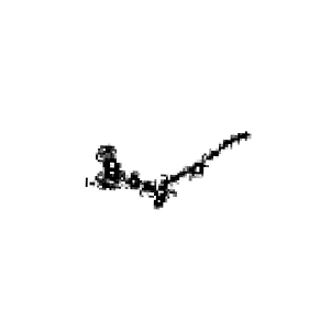 CCCCCCCCCCCCOc1cccc(OCCCCNC(=O)c2cc(OCC(=O)Nc3ccc(N=Nc4c(O)c(S(=O)(=O)O)cc5cc(S(=O)(=O)O)ccc45)cc3)c3ccccc3c2O)c1